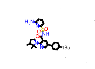 CC1CCN(c2ncc(-c3ccc(C(C)(C)C)cc3)cc2C(=O)NS(=O)(=O)c2cccc(N)n2)C1(C)C